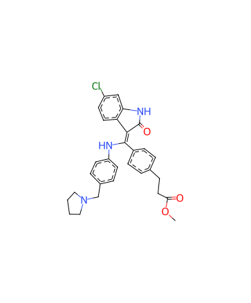 COC(=O)CCc1ccc(C(Nc2ccc(CN3CCCC3)cc2)=C2C(=O)Nc3cc(Cl)ccc32)cc1